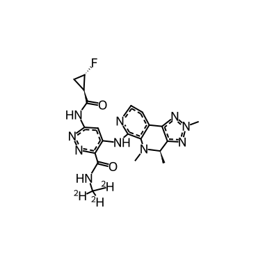 [2H]C([2H])([2H])NC(=O)c1nnc(NC(=O)[C@H]2C[C@@H]2F)cc1Nc1nccc2c1N(C)[C@H](C)c1nn(C)nc1-2